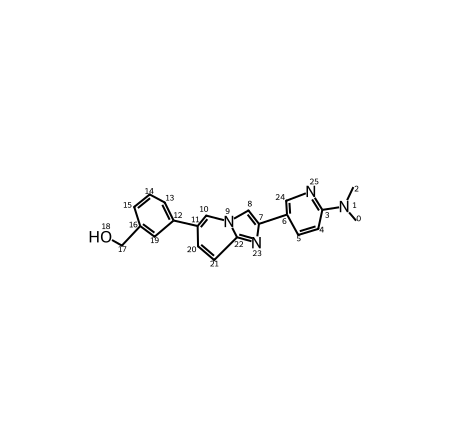 CN(C)c1ccc(-c2cn3cc(-c4cccc(CO)c4)ccc3n2)cn1